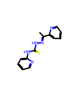 C/C(=N\NC(=S)Nc1ccccn1)c1ccccn1